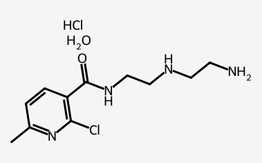 Cc1ccc(C(=O)NCCNCCN)c(Cl)n1.Cl.O